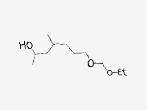 CCOCOCCCC(C)CC(C)O